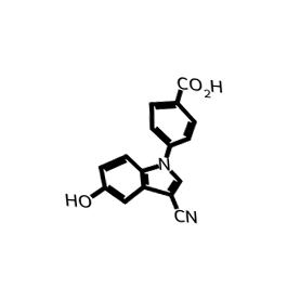 N#Cc1cn(-c2ccc(C(=O)O)cc2)c2ccc(O)cc12